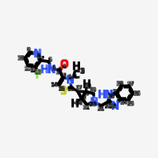 CN1C(C(=O)NCc2ncccc2F)=CSC1[C@H]1[C@@H]2CN(Cc3nc4ccccc4[nH]3)C[C@@H]21